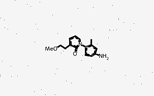 COCCc1cccn(-c2ccc(N)cc2C)c1=O